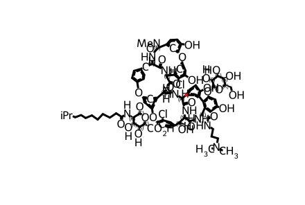 CN[C@H]1C(=O)N[C@@H]2Cc3ccc(cc3)Oc3cc4cc(c3O[C@@H]3O[C@H](C(=O)O)[C@@H](O)[C@H](O)[C@H]3NC(=O)CCCCCCCCC(C)C)Oc3ccc(cc3Cl)[C@@H](O)[C@@H]3NC(=O)[C@H](NC(=O)[C@@H]4NC(=O)[C@@H](NC2=O)c2cc(cc(O)c2Cl)Oc2cc1ccc2O)c1ccc(O)c(c1)-c1c(O[C@H]2O[C@H](CO)[C@@H](O)[C@H](O)[C@@H]2O)cc(O)cc1[C@H](C(=O)NCCCN(C)C)NC3=O